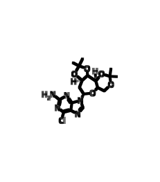 CC1(C)OCC2O[C@@H](n3cnc4c(Cl)nc(N)nc43)C[C@H]3OC(C)(C)OC3[C@@H]2O1